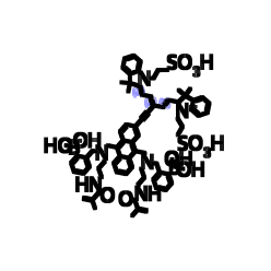 C=C(C)C(=O)NCCCN(Cc1ccccc1B(O)O)Cc1c2ccccc2c(CN(CCCNC(=O)C(=C)C)Cc2ccccc2B(O)O)c2cc(C#CC(=C\C=C3/N(CCCS(=O)(=O)O)c4ccccc4C3(C)C)/C=C/C3=[N+](CCCS(=O)(=O)O)c4ccccc4C3(C)C)ccc12